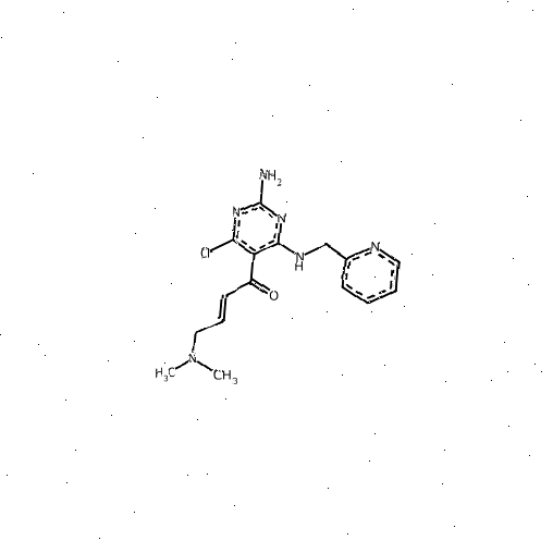 CN(C)C/C=C/C(=O)c1c(Cl)nc(N)nc1NCc1ccccn1